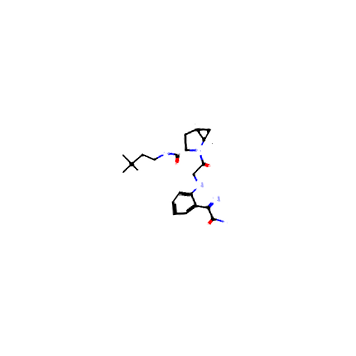 CC(C)(C)CCNC(=O)[C@@H]1C[C@H]2C[C@H]2N1C(=O)CNc1ccccc1C(=N)C(N)=O